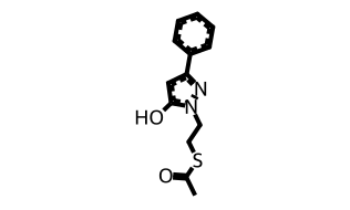 CC(=O)SCCn1nc(-c2ccccc2)cc1O